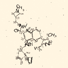 Cc1noc(C)c1-c1ccc2nc(C(=O)NCC3CN(C)C3)cc(NCc3cccc(Cl)c3)c2c1